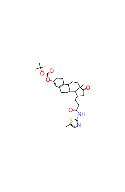 Cc1cnc(NC(=O)CCC2CC(=O)C3(C)CCC4c5ccc(OC(=O)OC(C)(C)C)cc5CCC4C23)s1